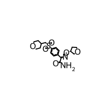 NC(=O)/C(=N/O[C@@H]1CCOC1)c1ccc(S(=O)(=O)CC2CCOCC2)cc1